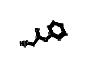 CCC(=O)O[n+]1ccccc1